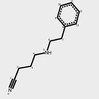 N#CCCCNCCc1ccccc1